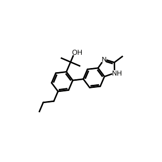 CCCc1ccc(C(C)(C)O)c(-c2ccc3[nH]c(C)nc3c2)c1